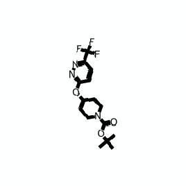 CC(C)(C)OC(=O)N1CCC(Oc2ccc(C(F)(F)F)nn2)CC1